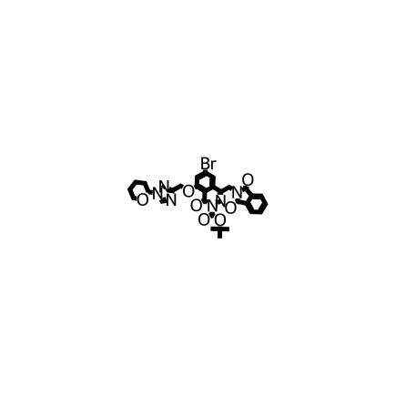 CC(C)(C)OC(=O)n1nc(CN2C(=O)c3ccccc3C2=O)c2cc(Br)cc(OCc3ncn(C4CCCCO4)n3)c2c1=O